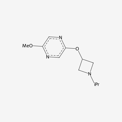 COc1cnc(OC2CN(C(C)C)C2)cn1